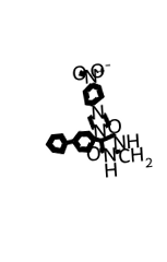 C=C1NC(=O)C(c2ccc(-c3ccccc3)cc2)(N2CCN(c3ccc([N+](=O)[O-])cc3)CC2)C(=O)N1